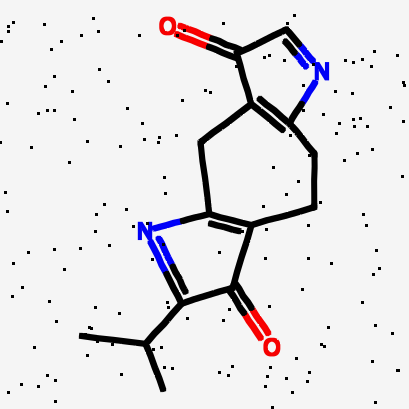 CC(C)C1=NC2=C(CCC3=C(C2)C(=O)C=N3)C1=O